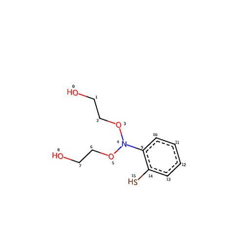 OCCON(OCCO)c1ccccc1S